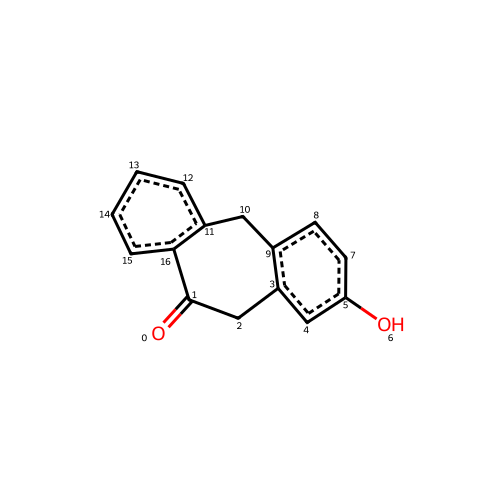 O=C1Cc2cc(O)ccc2Cc2ccccc21